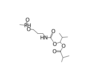 CC(C)C(=O)OC(OC(=O)NCCCO[PH](C)=O)C(C)C